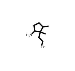 CC(C)CCC1(C)C(C)CCC1N